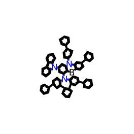 c1ccc(-c2ccc(N3c4cc(-c5ccccc5)ccc4B4c5cc(-c6ccccc6)cc6c5N(c5ccc(-c7ccccc7)cc5-c5ccccc5-6)c5cc(-n6c7ccccc7c7ccccc76)cc3c54)cc2)cc1